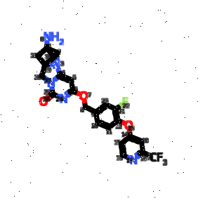 NC12CN3c4cc(OCc5ccc(Oc6ccnc(C(F)(F)F)c6)c(F)c5)nc(=O)n4CC3(C1)C2